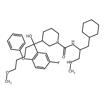 CNCC(CC1CCCCC1)NC(=O)N1CCCC(C(O)(CCCCOC)c2cc(F)ccc2Oc2ccccc2)C1